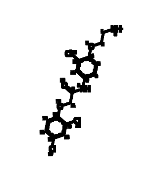 [NH]CCOc1ccc(NC(=O)COc2ccc(Cl)cc2Cl)cc1Cl